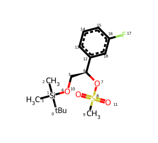 CC(C)(C)[Si](C)(C)OC[C@H](OS(C)(=O)=O)c1cccc(F)c1